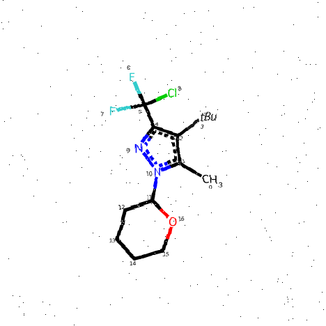 Cc1c(C(C)(C)C)c(C(F)(F)Cl)nn1C1CCCCO1